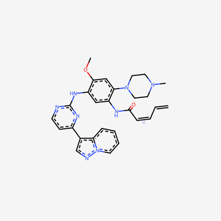 C=C/C=C\C(=O)Nc1cc(Nc2nccc(-c3cnn4ccccc34)n2)c(OC)cc1N1CCN(C)CC1